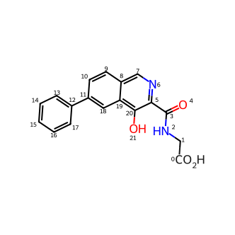 O=C(O)CNC(=O)c1ncc2ccc(-c3ccccc3)cc2c1O